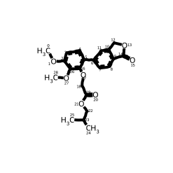 COc1ccc(-c2ccc3c(c2)COC3=O)c(OCC(=O)OCC(C)C)c1OC